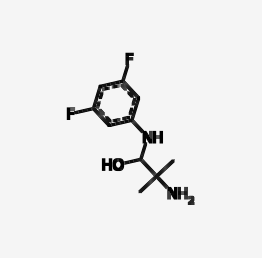 CC(C)(N)C(O)Nc1cc(F)cc(F)c1